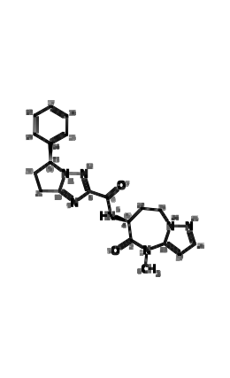 CN1C(=O)[C@@H](NC(=O)c2nc3n(n2)[C@H](c2ccccc2)CC3)CCn2nccc21